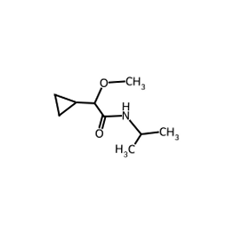 COC(C(=O)NC(C)C)C1CC1